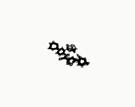 CC1(NC(=O)[C@H]2CN(C3CCCCC3)CC[C@@H]2NC(=O)c2cc(-c3ccc(F)cc3F)on2)CC1